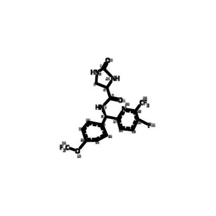 O=C1NCC(C(=O)N[C@H](c2ccc(OC(F)(F)F)cc2)c2ccc(F)c(C(F)(F)F)n2)N1